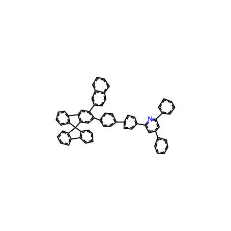 c1ccc(-c2cc(-c3ccccc3)nc(-c3ccc(-c4ccc(-c5cc6c(cc5-c5ccc7ccccc7c5)-c5ccccc5C65c6ccccc6-c6ccccc65)cc4)cc3)c2)cc1